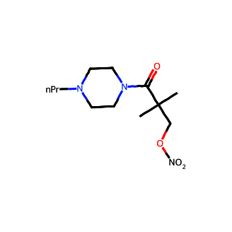 [CH2]CCN1CCN(C(=O)C(C)(C)CO[N+](=O)[O-])CC1